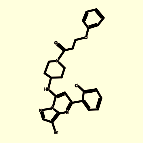 O=C(CCOc1ccccc1)N1CCC(Nc2cc(-c3ccccc3Cl)nc3c(Br)cnn23)CC1